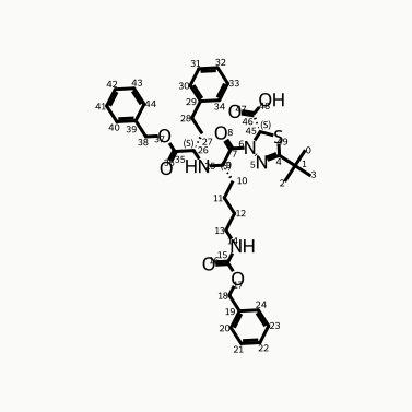 CC(C)(C)C1=NN(C(=O)[C@H](CCCCNC(=O)OCc2ccccc2)N[C@@H](CCc2ccccc2)C(=O)OCc2ccccc2)[C@H](C(=O)O)S1